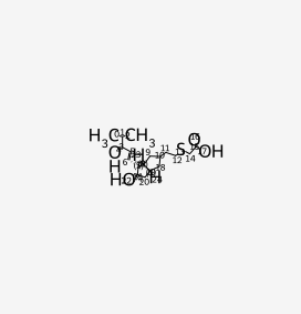 CC(C)C(O)C=C[C@@H]1[C@@H]2CC(CCSCC(=O)O)C[C@H]2C[C@H]1O